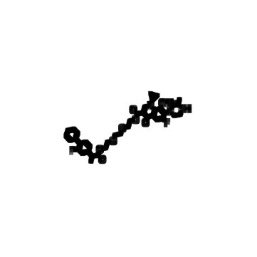 COc1c(N2CCNC(C)C2)c(F)cc2c(=O)c(C(=O)OCCOCCOCCOC(=O)C(C)c3ccc(-c4ccccc4)c(F)c3)cn(C3CC3)c12